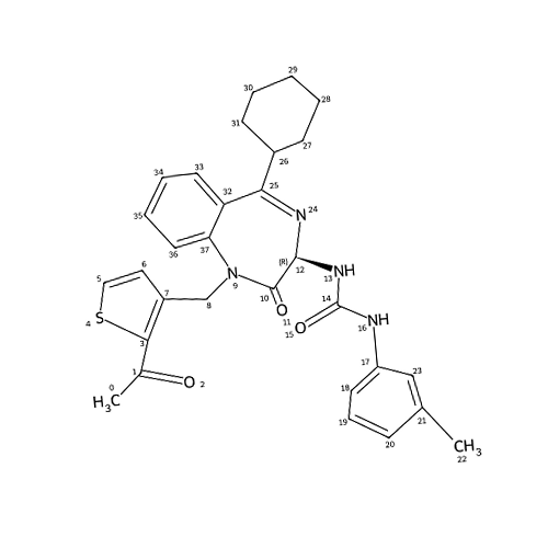 CC(=O)c1sccc1CN1C(=O)[C@H](NC(=O)Nc2cccc(C)c2)N=C(C2CCCCC2)c2ccccc21